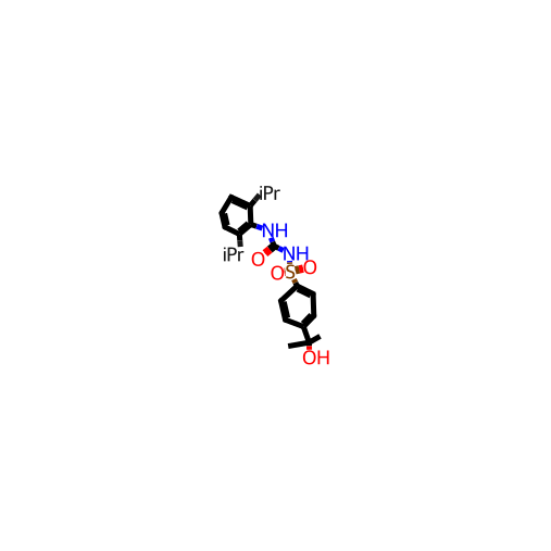 CC(C)c1cccc(C(C)C)c1NC(=O)NS(=O)(=O)c1ccc(C(C)(C)O)cc1